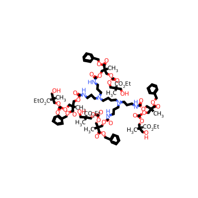 CCOC(=O)C(C)(CO)COC(=O)OCC(C)(COC(=O)NCCCN(CCCCN(CCCNC(=O)OCC(C)(COC(=O)OCC(C)(CO)C(=O)OCC)C(=O)OCc1ccccc1)CCCNC(=O)OCC(C)(COC(=O)OCC(C)(CO)C(=O)OCC)C(=O)OCc1ccccc1)CCCNC(=O)OCC(C)(COC(=O)OCC(C)(CO)C(=O)OCC)C(=O)OCc1ccccc1)C(=O)OCc1ccccc1